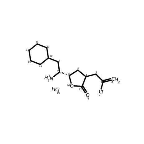 C=C(Cl)CC1C[C@@H](C(N)CC2CCCCC2)OC1=O.Cl